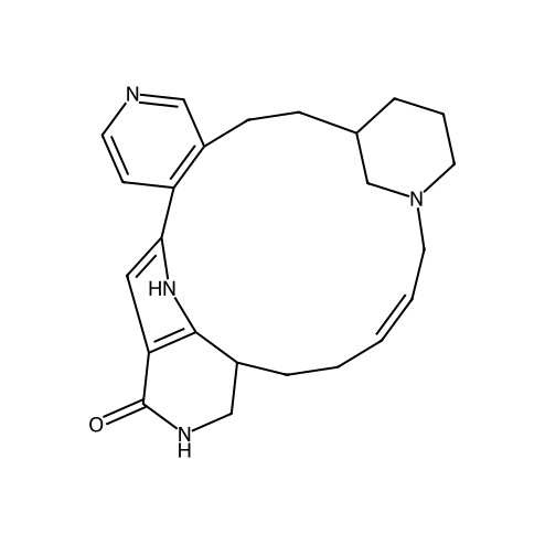 O=C1NCC2CCC=CCN3CCCC(CCc4cnccc4-c4cc1c2[nH]4)C3